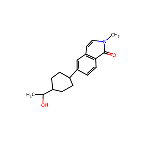 CC(O)C1CCC(c2ccc3c(=O)n(C)ccc3c2)CC1